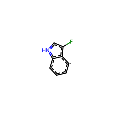 Fc1c[nH]c2ccc[c]c12